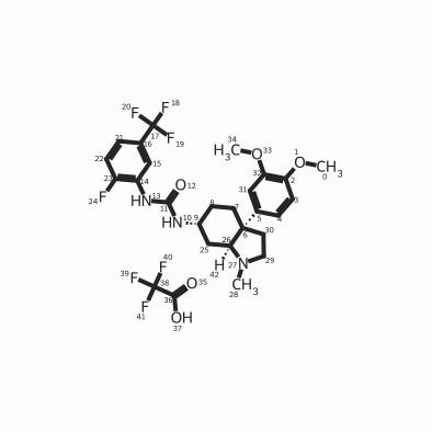 COc1ccc([C@@]23CC[C@@H](NC(=O)Nc4cc(C(F)(F)F)ccc4F)C[C@@H]2N(C)CC3)cc1OC.O=C(O)C(F)(F)F